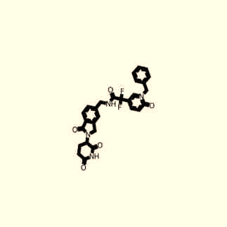 O=C1CCC(N2Cc3cc(CNC(=O)C(F)(F)c4ccc(=O)n(Cc5ccccc5)c4)ccc3C2=O)C(=O)N1